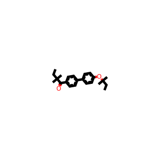 CCC(C)(C)Oc1ccc(-c2ccc(C(=O)C(C)(C)CC)cc2)cc1